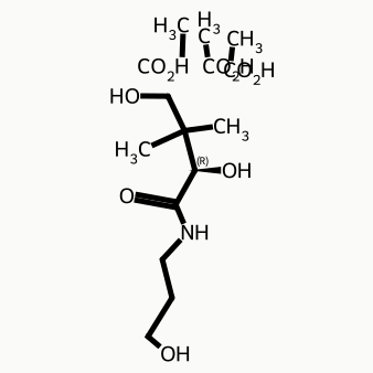 CC(=O)O.CC(=O)O.CC(=O)O.CC(C)(CO)[C@@H](O)C(=O)NCCCO